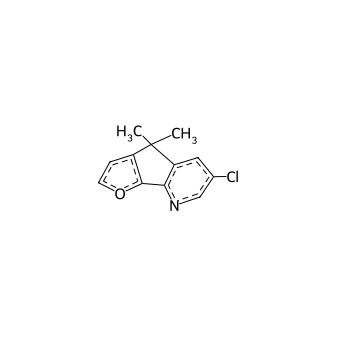 CC1(C)c2cc(Cl)cnc2-c2occc21